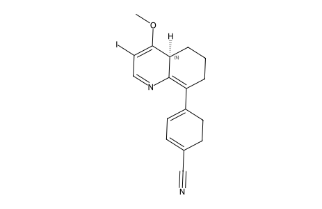 COC1=C(I)C=NC2=C(C3=CC=C(C#N)CC3)CCC[C@@H]21